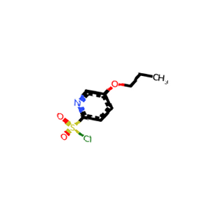 CCCOc1ccc(S(=O)(=O)Cl)nc1